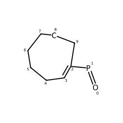 O=PC1=CCCCCCC1